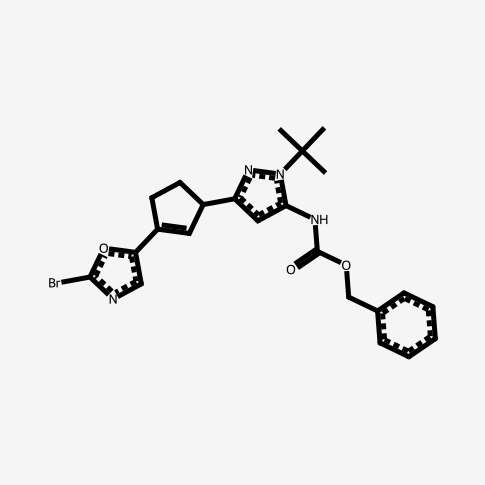 CC(C)(C)n1nc(C2C=C(c3cnc(Br)o3)CC2)cc1NC(=O)OCc1ccccc1